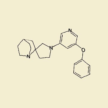 c1ccc(Oc2cncc(N3CCC4(CC5CCN4CC5)C3)c2)cc1